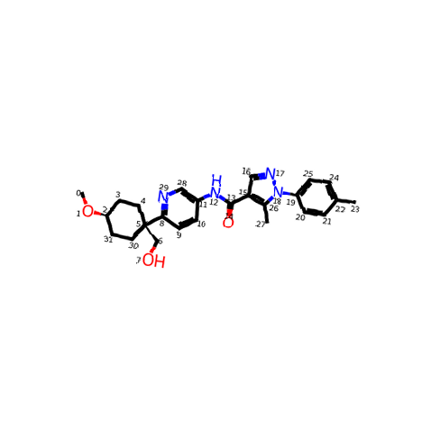 CO[C@H]1CC[C@](CO)(c2ccc(NC(=O)c3cnn(-c4ccc(C)cc4)c3C)cn2)CC1